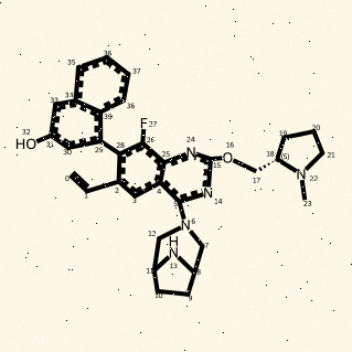 C=Cc1cc2c(N3CC4CCC(C3)N4)nc(OC[C@@H]3CCCN3C)nc2c(F)c1-c1cc(O)cc2ccccc12